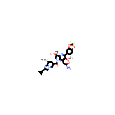 CCOc1c(CC(N)=O)cc([C@@](O)(CNC(=O)c2cc(OC)c3nc(C4CC4)cn3c2)C(F)(F)F)nc1-c1ccc2c(c1)OC(F)(F)O2